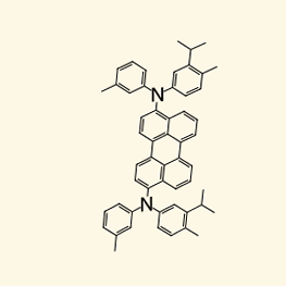 Cc1cccc(N(c2ccc(C)c(C(C)C)c2)c2ccc3c4ccc(N(c5cccc(C)c5)c5ccc(C)c(C(C)C)c5)c5cccc(c6cccc2c63)c54)c1